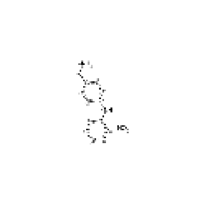 NCc1ccc(Nc2ccccc2[N+](=O)[O-])cc1